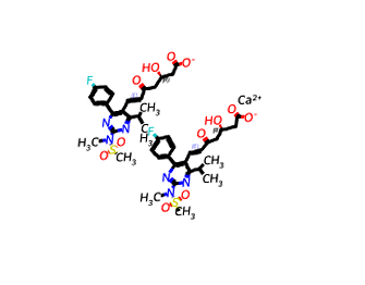 CC(C)c1nc(N(C)S(C)(=O)=O)nc(-c2ccc(F)cc2)c1/C=C/C(=O)C[C@@H](O)CC(=O)[O-].CC(C)c1nc(N(C)S(C)(=O)=O)nc(-c2ccc(F)cc2)c1/C=C/C(=O)C[C@@H](O)CC(=O)[O-].[Ca+2]